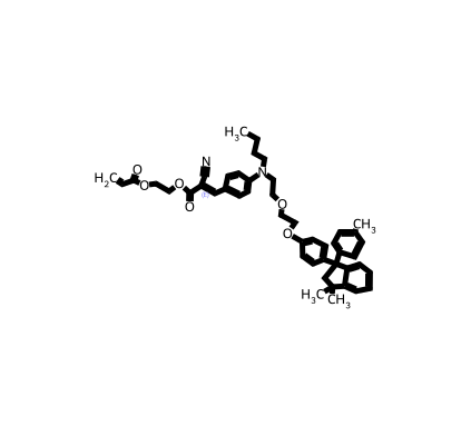 C=CC(=O)OCCOC(=O)/C(C#N)=C/c1ccc(N(CCCC)CCOCCOc2ccc(C3(c4ccc(C)cc4)CC(C)(C)c4ccccc43)cc2)cc1